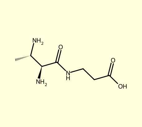 C[C@H](N)[C@H](N)C(=O)NCCC(=O)O